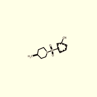 C=C1CCN(S(=O)(=O)c2cccc(C#N)c2)CC1